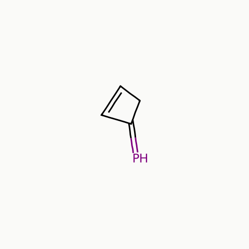 P=C1C=CC1